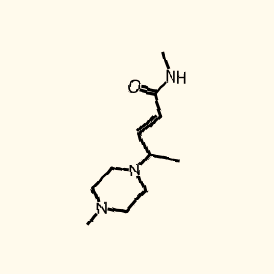 CNC(=O)C=CC(C)N1CCN(C)CC1